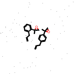 C=CCc1ccc(C2(C)CO2)cc1.C=CCc1ccccc1C1(C)CO1